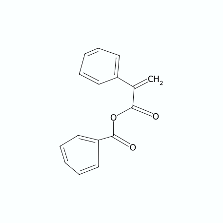 C=C(C(=O)OC(=O)c1ccccc1)c1ccccc1